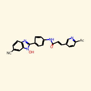 CC(=O)c1ccc(C=CC(=O)Nc2ccc(-c3nc4ccc(C#N)cc4n3O)cc2)cn1